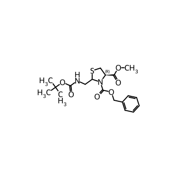 COC(=O)[C@@H]1CSC(CNC(=O)OC(C)(C)C)N1C(=O)OCc1ccccc1